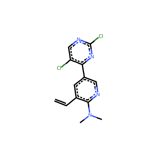 C=Cc1cc(-c2nc(Cl)ncc2Cl)cnc1N(C)C